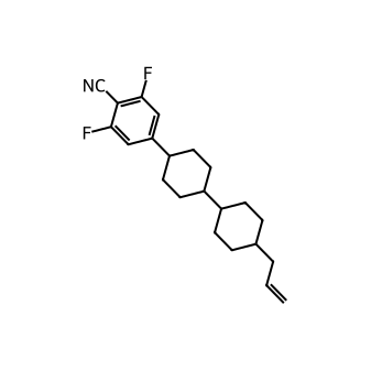 C=CCC1CCC(C2CCC(c3cc(F)c(C#N)c(F)c3)CC2)CC1